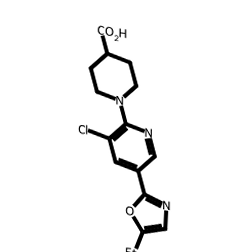 CCc1cnc(-c2cnc(N3CCC(C(=O)O)CC3)c(Cl)c2)o1